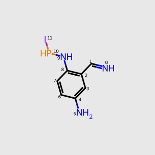 N=Cc1cc(N)ccc1NPI